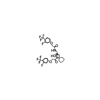 O=C(COc1ccc(C(F)(F)F)c(F)c1)NC[C@@H](O)CC1(NC(=O)COc2ccc(C(F)(F)F)c(F)c2)CCCCC1